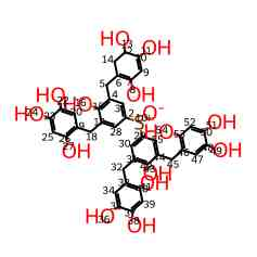 [O-][S+](c1cc(CC2=C(O)C=C(O)C(O)C2)c(O)c(Cc2cc(O)c(O)cc2O)c1)c1cc(Cc2cc(O)c(O)cc2O)c(O)c(Cc2cc(O)c(O)cc2O)c1